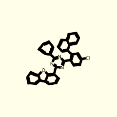 Clc1ccc(-c2nc(-c3ccccc3)nc(-c3cccc4c3oc3ccccc34)n2)c(-c2cccc3ccccc23)c1